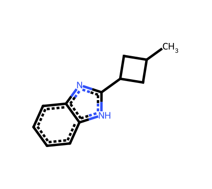 CC1CC(c2nc3ccccc3[nH]2)C1